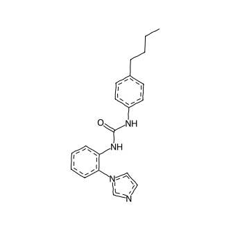 CCCCc1ccc(NC(=O)Nc2ccccc2-n2ccnc2)cc1